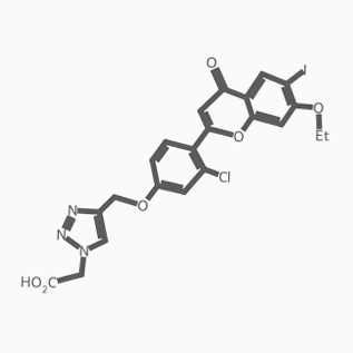 CCOc1cc2oc(-c3ccc(OCc4cn(CC(=O)O)nn4)cc3Cl)cc(=O)c2cc1I